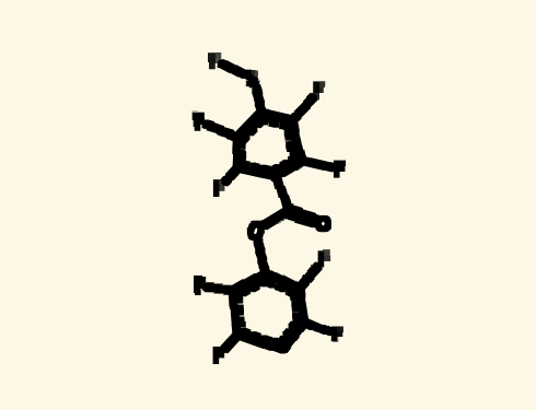 O=C(Oc1c(F)c(F)cc(F)c1F)c1c(F)c(F)c(SF)c(F)c1F